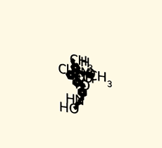 CCc1cccc(-c2c(Cl)cccc2[C@](O)(CCCNC(=O)OC)[C@@H]2CCCN(C(=O)c3ccc(CNCCCO)cc3)C2)c1